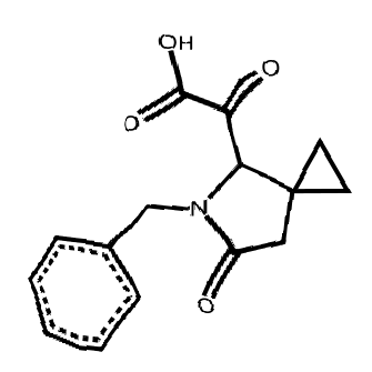 O=C(O)C(=O)C1N(Cc2ccccc2)C(=O)CC12CC2